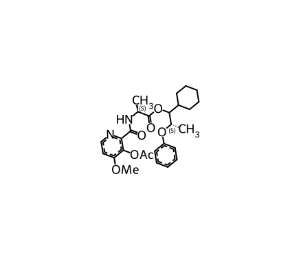 COc1ccnc(C(=O)N[C@@H](C)C(=O)OC(C2CCCCC2)[C@H](C)Oc2ccccc2)c1OC(C)=O